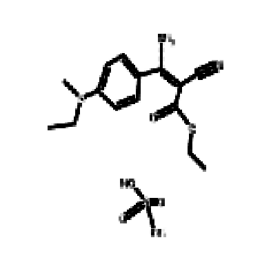 CCOC(=O)C(C#N)=C(N)c1ccc(N(C)CC)cc1.O=S(=O)(O)O